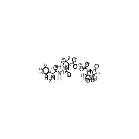 CC1(C)S[C@@H]2[C@H](NC(=O)[C@H](N)c3ccccc3)C(=O)N2[C@H]1C(=O)OCOC(=O)[C@@H]1N2C(=O)C[C@@H]2S(=O)(=O)C1(C)C